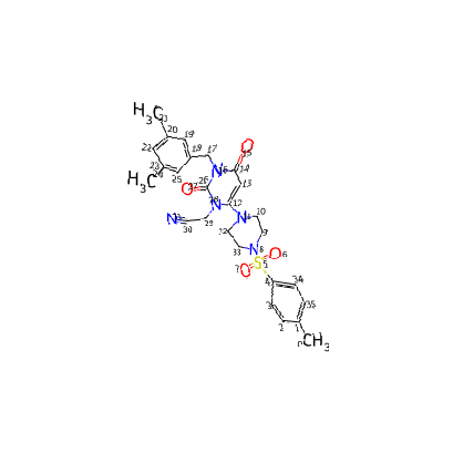 Cc1ccc(S(=O)(=O)N2CCN(c3cc(=O)n(Cc4cc(C)cc(C)c4)c(=O)n3CC#N)CC2)cc1